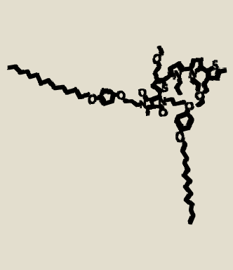 CCCCCCCCCCCCCCOc1ccc(OCCCN2C(=O)C3=C(c4cc(CCOCC)c(-c5ccc(-c6ccc(-c7sc(C)cc7CCOCC)n6CCC)n5CCC)s4)N(CCCOc4ccc(OCCCCCCCCCCCCCC)cc4)C(=O)C3=C2C)cc1